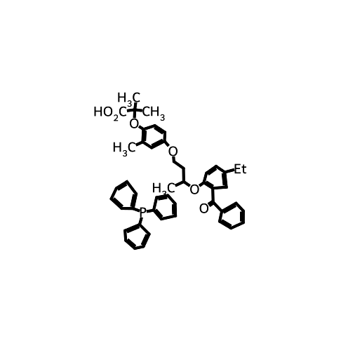 CCc1ccc(OC(C)CCOc2ccc(OC(C)(C)C(=O)O)c(C)c2)c(C(=O)c2ccccc2)c1.c1ccc(P(c2ccccc2)c2ccccc2)cc1